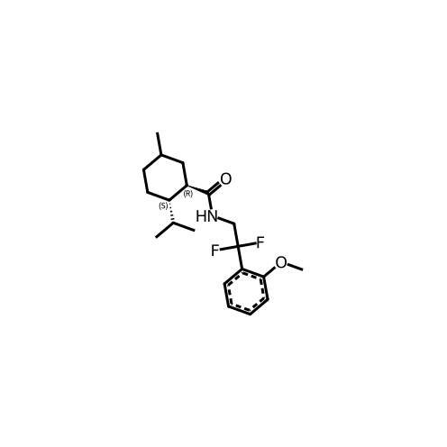 COc1ccccc1C(F)(F)CNC(=O)[C@@H]1CC(C)CC[C@H]1C(C)C